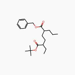 CCCC(CCC(CC)C(=O)OC(C)(C)C)C(=O)OCc1ccccc1